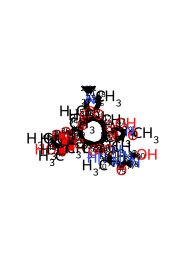 CON=C1C[C@@H](C)O[C@@H](O[C@@H]2[C@@H](C)[C@H](O[C@H]3CC(C)N(C4CC4)C[C@H](C)O3)[C@@H](C)C(=O)O[C@H](C(C)CO[C@@H]3O[C@H](C)[C@@H](O)[C@@H](OC)[C@H]3OC)[C@H](C)[C@@H](OC(=O)CC(C)C)[C@@H](C)C(=O)[C@@](C)(OC(=O)NC(C)(C)CNC(=O)c3cnc(O)cn3)C[C@@H]2C)[C@@H]1O